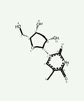 Cc1cn([C@@H]2O[C@H](CO)[C@H](O)[C@@H]2O)c(=S)[nH]c1=O